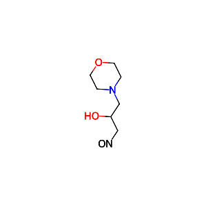 O=NCC(O)CN1CCOCC1